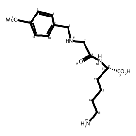 COc1ccc(CNCC(=O)N[C@@H](CCCCN)C(=O)O)cc1